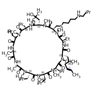 C/C=C/C[C@@H](C)C[C@H]1C(=O)N[C@H](CC)C(=O)N(C)[C@H](CSCCCCNCC(C)C)C(=O)N(C)[C@@H](CC(C)(C)O)C(=O)N[C@H](C(C)C)C(=O)N(C)[C@H](CC(C)C)C(=O)N[C@H](C)C(=O)N[C@@H](C)C(=O)N(C)[C@@H](CC(C)C)C(=O)N(C)[C@H](CC(C)C)C(=O)N(C)[C@H](C(C)C)C(=O)N1C